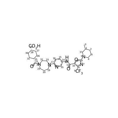 CC1CCCN(c2nc(C(F)(F)F)c(C(=O)Nc3ccc(N4CCCN(C(=O)[C@H]5CC[C@@H](C(=O)O)CC5)CC4)nc3)o2)C1